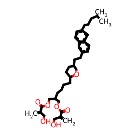 C=C(CO)C(=O)OCC(CCCCC1CCC(CCc2ccc3cc(CCCC(C)C)ccc3c2)CO1)COC(=O)C(=C)CO